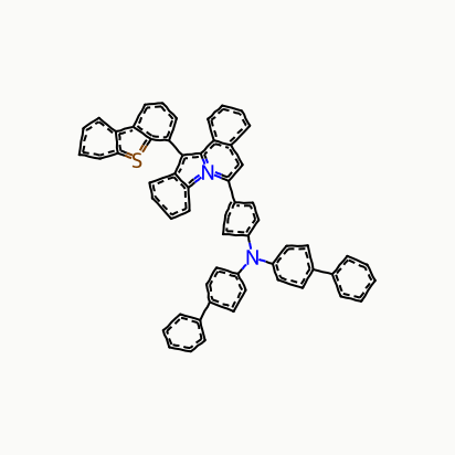 c1ccc(-c2ccc(N(c3ccc(-c4ccccc4)cc3)c3ccc(-c4cc5ccccc5c5c(-c6cccc7c6sc6ccccc67)c6ccccc6n45)cc3)cc2)cc1